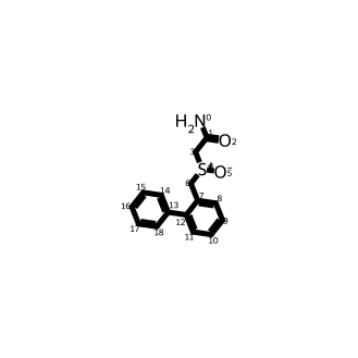 NC(=O)C[S+]([O-])Cc1ccccc1-c1ccccc1